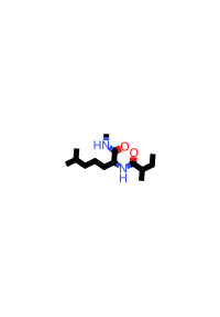 CCC(C)C(=O)NC(CCCC(C)C)C(=O)NC